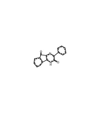 O=C1c2ccccc2-c2[nH]c(=O)c(-c3ccccc3)nc21